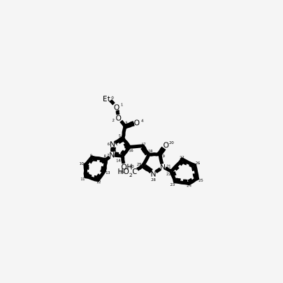 CCOOC(=O)c1nn(-c2ccccc2)c(O)c1C=C1C(=O)N(c2ccccc2)N=C1C(=O)O